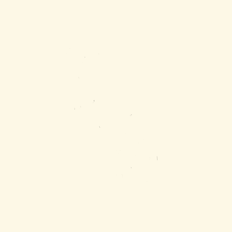 CC(C)(Oc1ccc(C(=O)c2cccc(Cl)c2)cc1)C(=O)Cl